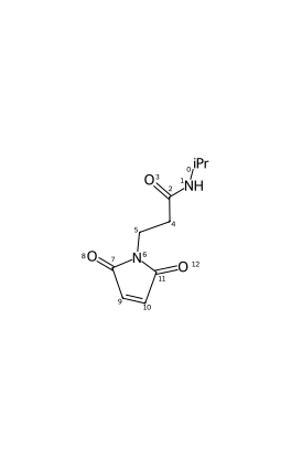 CC(C)NC(=O)CCN1C(=O)C=CC1=O